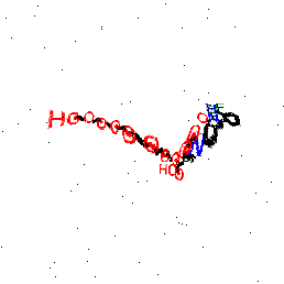 O=C(O)C(C[C@H]1CN(c2ccc3cc(-c4ccccc4C(F)(F)F)[nH]c(=O)c3c2)C(=O)O1)OCCOCCOCCOCCOCCOCCOCCO